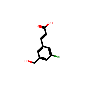 O=C(O)C=Cc1cc(Br)cc(CO)c1